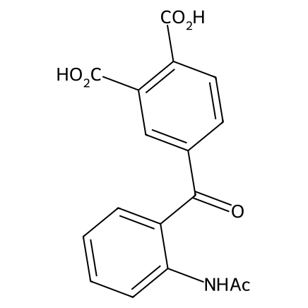 CC(=O)Nc1ccccc1C(=O)c1ccc(C(=O)O)c(C(=O)O)c1